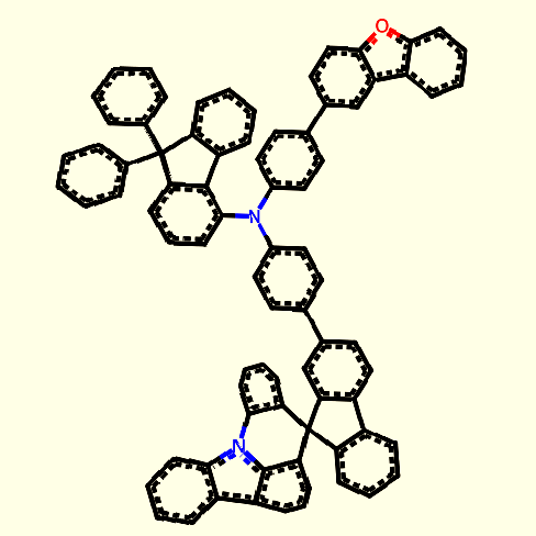 c1ccc(C2(c3ccccc3)c3ccccc3-c3c(N(c4ccc(-c5ccc6c(c5)C5(c7ccccc7-6)c6ccccc6-n6c7ccccc7c7cccc5c76)cc4)c4ccc(-c5ccc6oc7ccccc7c6c5)cc4)cccc32)cc1